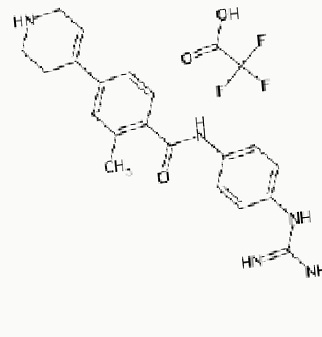 Cc1cc(C2=CCNCC2)ccc1C(=O)Nc1ccc(NC(=N)N)cc1.O=C(O)C(F)(F)F